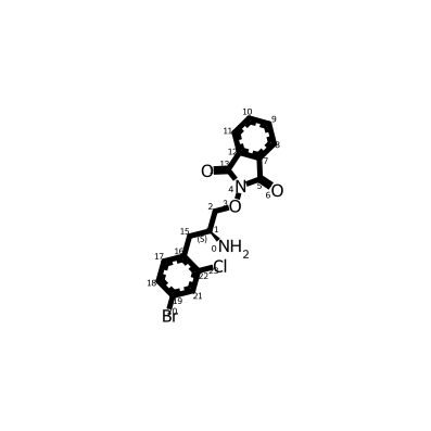 N[C@H](CON1C(=O)c2ccccc2C1=O)Cc1ccc(Br)cc1Cl